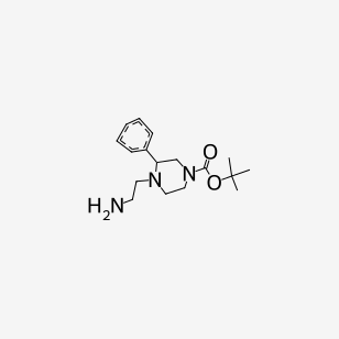 CC(C)(C)OC(=O)N1CCN(CCN)C(c2ccccc2)C1